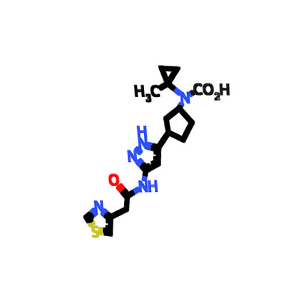 CC1(N(C(=O)O)C2CCC(c3cc(NC(=O)Cc4cscn4)n[nH]3)C2)CC1